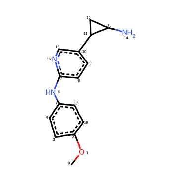 COc1ccc(Nc2ccc(C3CC3N)cn2)cc1